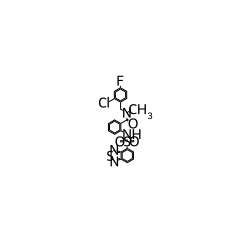 CN(Cc1ccc(F)cc1Cl)C(=O)c1ccccc1NS(=O)(=O)c1cccc2nsnc12